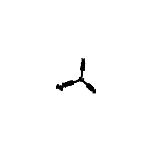 N#[C][Au]([C]#N)[C]#N.[Ag]